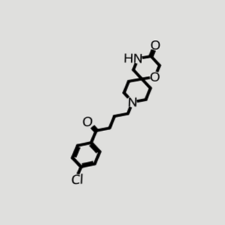 O=C1COC2(CCN(CCCC(=O)c3ccc(Cl)cc3)CC2)CN1